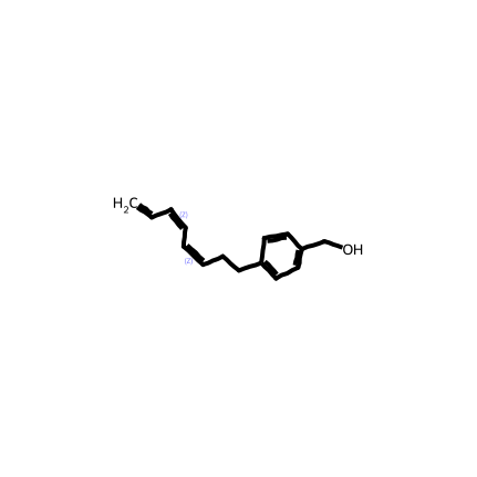 C=C/C=C\C=C/CCc1ccc(CO)cc1